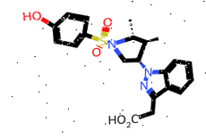 C[C@@H]1[C@@H](C)N(S(=O)(=O)c2ccc(O)cc2)C[C@@H]1n1nc(CC(=O)O)c2ccccc21